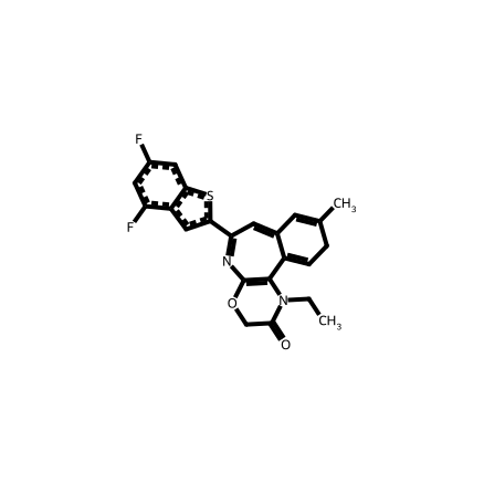 CCN1C(=O)COC2=C1C1=CCC(C)=CC1=CC(c1cc3c(F)cc(F)cc3s1)=N2